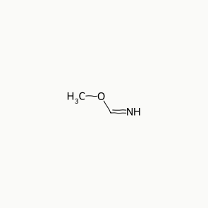 COC=N